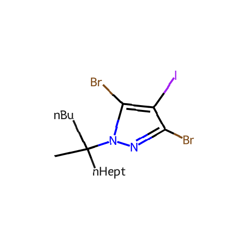 CCCCCCCC(C)(CCCC)n1nc(Br)c(I)c1Br